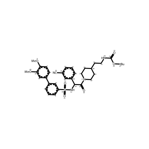 COc1ccc(-c2cccc(S(=O)(=O)NC(C(=O)N3CCC(CCNC(=O)OC(C)(C)C)CC3)c3cccc(C#N)c3)c2)cc1OC